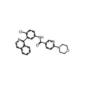 O=C(Nc1ccc(Cl)c(-c2nccc3ccccc23)c1)c1ccc(N2CCOCC2)nc1